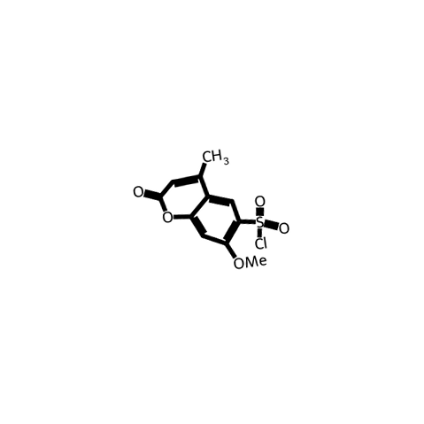 COc1cc2oc(=O)cc(C)c2cc1S(=O)(=O)Cl